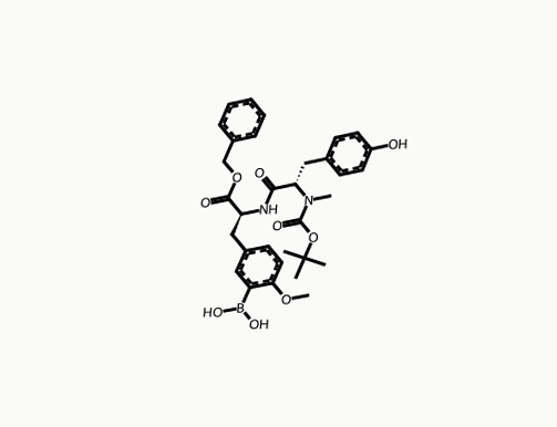 COc1ccc(C[C@H](NC(=O)[C@H](Cc2ccc(O)cc2)N(C)C(=O)OC(C)(C)C)C(=O)OCc2ccccc2)cc1B(O)O